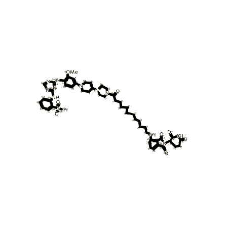 COc1cc(N2CCC(N3CCN(C(=O)CCCCCCCCCCCNc4cccc5c4C(=O)N(C4CCC(=O)NC4=O)C5=O)CC3)CC2)ccc1Nc1ncnc(Nc2ccccc2S(=O)(=O)C(C)C)n1